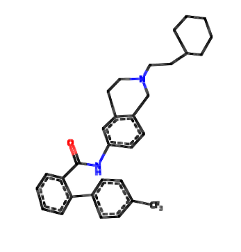 O=C(Nc1ccc2c(c1)CCN(CCC1CCCCC1)C2)c1ccccc1-c1ccc(C(F)(F)F)cc1